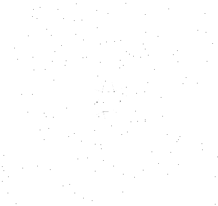 CC1(C)NC(C)(C)C(C)(C)C(C)(C)C1(C)C